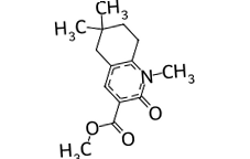 COC(=O)c1cc2c(n(C)c1=O)CCC(C)(C)C2